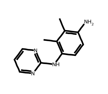 Cc1c(N)ccc(Nc2ncccn2)c1C